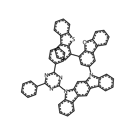 c1ccc(-c2nc(-c3ccccc3)nc(-n3c4ccccc4c4cc5c6ccccc6n(-c6cc(-c7cccc8c7sc7ccccc78)c7oc8ccccc8c7c6)c5cc43)n2)cc1